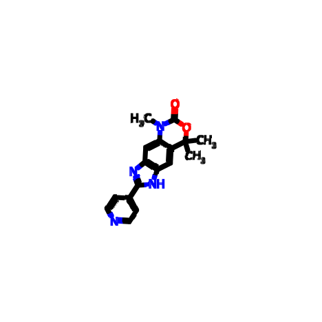 CN1C(=O)OC(C)(C)c2cc3[nH]c(-c4ccncc4)nc3cc21